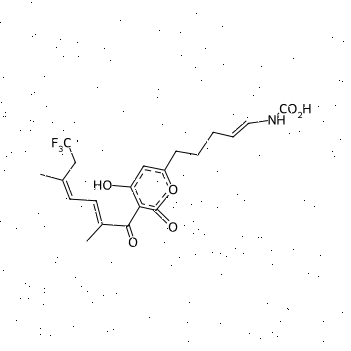 CC(=CC=C(C)C(=O)c1c(O)cc(CCCC=CNC(=O)O)oc1=O)CC(F)(F)F